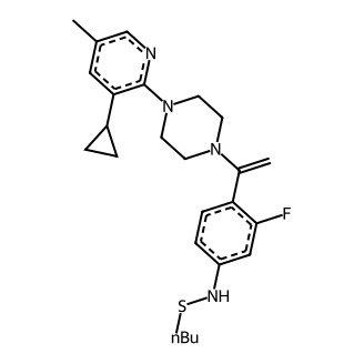 C=C(c1ccc(NSCCCC)cc1F)N1CCN(c2ncc(C)cc2C2CC2)CC1